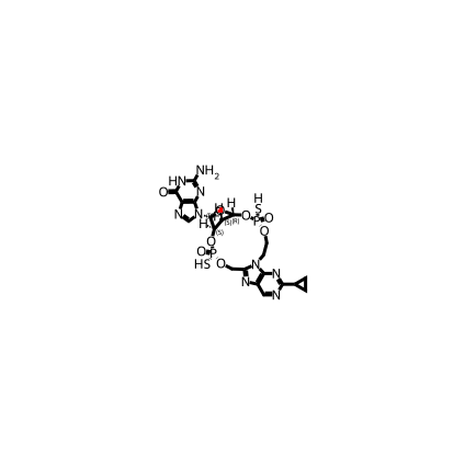 Nc1nc2c(ncn2[C@@H]2O[C@@H]3OP(=O)(S)OCCn4c(nc5cnc(C6CC6)nc54)COP(=O)(S)O[C@@H]2[C@@H]3F)c(=O)[nH]1